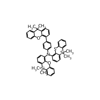 CC1(C)c2ccccc2Oc2c(-c3ccc(N(c4cccc5c4Oc4ccccc4[Si]5(C)C)c4cccc5c4Sc4ccccc4[Si]5(C)C)cc3)cccc21